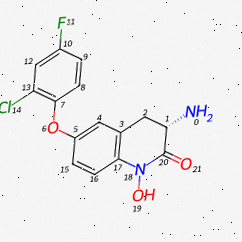 N[C@H]1Cc2cc(Oc3ccc(F)cc3Cl)ccc2N(O)C1=O